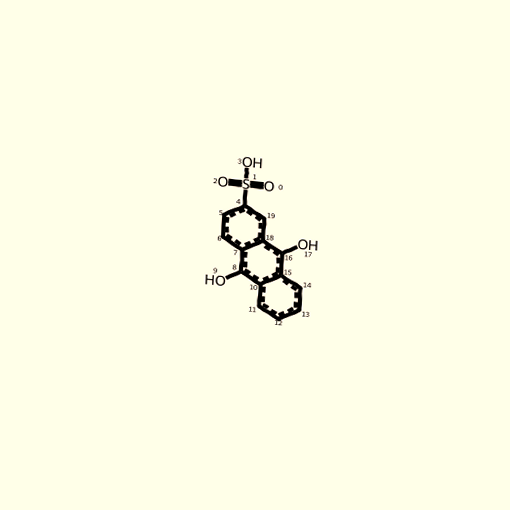 O=S(=O)(O)c1ccc2c(O)c3ccccc3c(O)c2c1